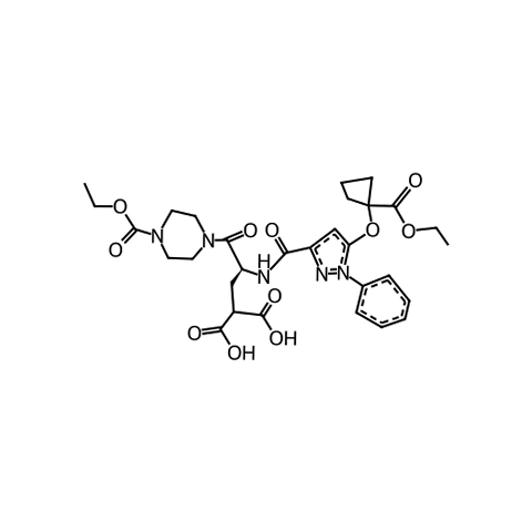 CCOC(=O)N1CCN(C(=O)[C@H](CC(C(=O)O)C(=O)O)NC(=O)c2cc(OC3(C(=O)OCC)CCC3)n(-c3ccccc3)n2)CC1